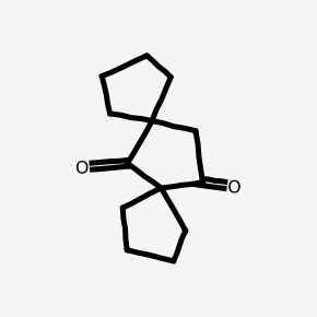 O=C1CC2(CCCC2)C(=O)C12CCCC2